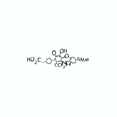 CNc1ccc2nc3c(C(=O)O)c(-c4ccc(CC(=O)O)cc4)c(=O)c(O)c-3oc2c1